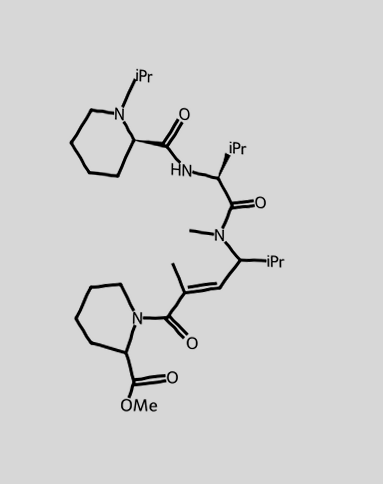 COC(=O)C1CCCCN1C(=O)/C(C)=C/C(C(C)C)N(C)C(=O)[C@@H](NC(=O)[C@H]1CCCCN1C(C)C)C(C)C